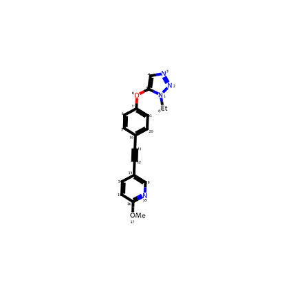 CCn1nncc1Oc1ccc(C#Cc2ccc(OC)nc2)cc1